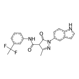 CC1=NN(c2ccc3[nH]ccc3c2)C(=O)C1C(=O)Nc1cccc(C(C)(F)F)c1